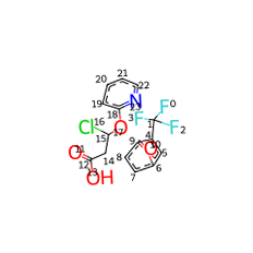 FC(F)(F)c1cc2ccc1o2.O=C(O)CC(Cl)Oc1ccccn1